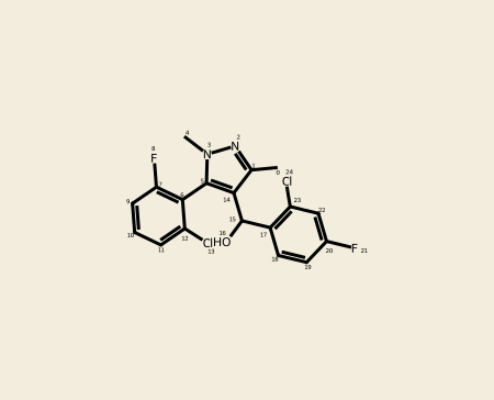 Cc1nn(C)c(-c2c(F)cccc2Cl)c1C(O)c1ccc(F)cc1Cl